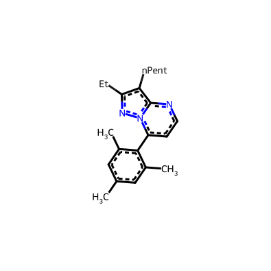 CCCCCc1c(CC)nn2c(-c3c(C)cc(C)cc3C)ccnc12